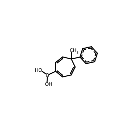 CC1(c2ccccc2)C=CC=C(B(O)O)C=C1